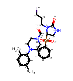 Cc1ccc(C)c(N2CCN(C(=O)[C@@]3(S(=O)(=O)c4ccccc4)CNC(=O)N3CCCI)CC2)c1